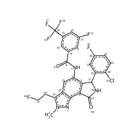 Cn1nc2c3c(c(NC(=O)c4cc(F)cc(C(F)(F)F)c4)cc2c1CCF)C(c1cc(F)ccc1Cl)NC3=O